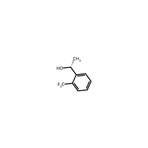 C[C@@H](O)c1ccccc1C(F)(F)F